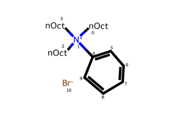 CCCCCCCC[N+](CCCCCCCC)(CCCCCCCC)c1ccccc1.[Br-]